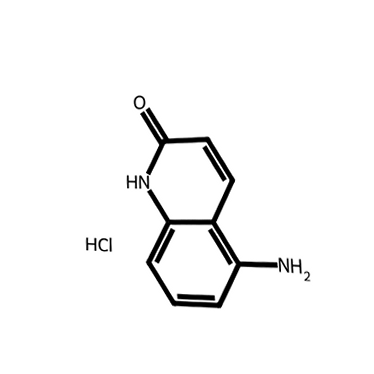 Cl.Nc1cccc2[nH]c(=O)ccc12